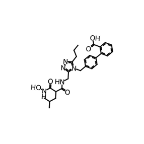 CCCc1nnc(CNC(=O)C(CC(C)C)C(=O)NO)n1Cc1ccc(-c2ccccc2C(=O)O)cc1